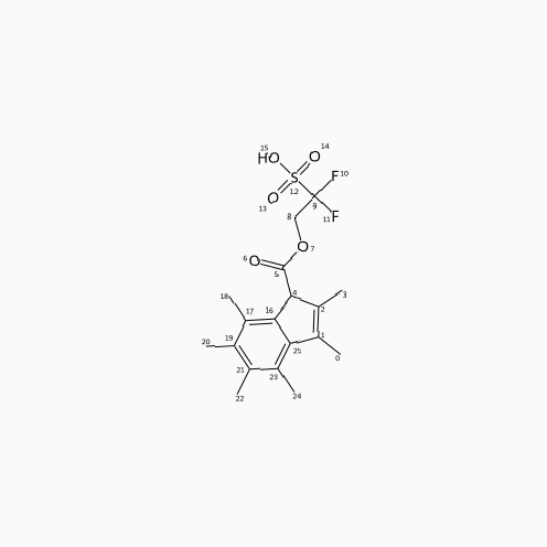 CC1=C(C)C(C(=O)OCC(F)(F)S(=O)(=O)O)c2c(C)c(C)c(C)c(C)c21